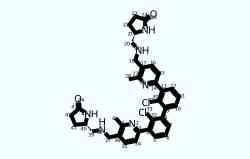 Cc1nc(-c2cccc(-c3cccc(-c4ccc(CNC[C@@H]5CCC(=O)N5)c(C)n4)c3Cl)c2Cl)ccc1CNC[C@@H]1CCC(=O)N1